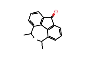 CC(C)c1cccc2c1-c1c(cccc1C(C)C)C2=O